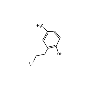 [CH2]c1ccc(O)c(CCC)c1